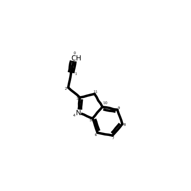 C#CCC1=Nc2ccccc2C1